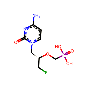 Nc1ccn(C[C@@H](CF)OCP(=O)(O)O)c(=O)n1